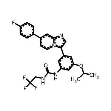 CC(C)Oc1cc(NC(=O)NCC(F)(F)F)cc(-c2cnc3cc(-c4ccc(F)cc4)ccn23)c1